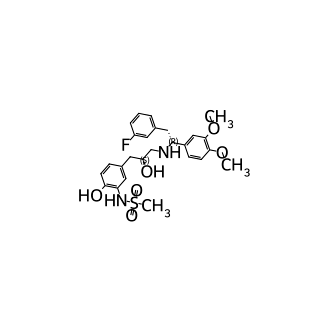 COc1ccc([C@@H](Cc2cccc(F)c2)NC[C@@H](O)Cc2ccc(O)c(NS(C)(=O)=O)c2)cc1OC